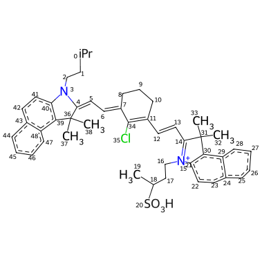 CC(C)CCN1/C(=C/C=C2\CCCC(/C=C/C3=[N+](CCC(C)S(=O)(=O)O)c4ccc5ccccc5c4C3(C)C)=C2Cl)C(C)(C)c2c1ccc1ccccc21